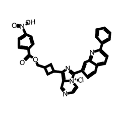 O=C(OCC1CC(C2=C3C=NC=C[N+]3(Cl)C(c3ccc4ccc(-c5ccccc5)nc4c3)=N2)C1)c1ccc([N+](=O)O)cc1